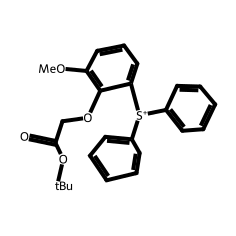 COc1cccc([S+](c2ccccc2)c2ccccc2)c1OCC(=O)OC(C)(C)C